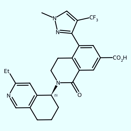 CCc1cc2c(cn1)CCC[C@@H]2N1CCc2c(cc(C(=O)O)cc2-c2nn(C)cc2C(F)(F)F)C1=O